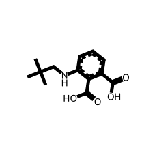 CC(C)(C)CNc1cccc(C(=O)O)c1C(=O)O